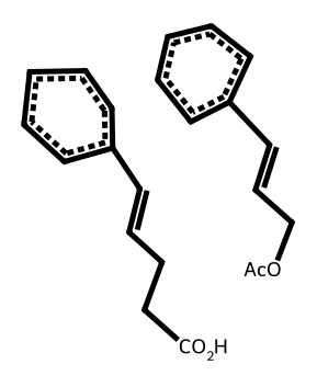 CC(=O)OCC=Cc1ccccc1.O=C(O)CCC=Cc1ccccc1